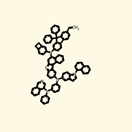 C=Cc1ccc2c(c1)C(c1ccccc1)(c1ccccc1)c1cc(N(c3ccc4c(c3)CC4)c3cc4sc5ccc(N(c6cccc(N(c7ccccc7)c7cncc8ccccc78)c6)c6ccc7c(ccn7-c7cccc8ccccc78)c6)cc5c4c4ccccc34)ccc1-2